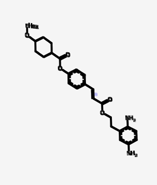 CCCCCCOC1CCC(C(=O)Oc2ccc(/C=C/C(=O)OCCc3cc(N)ccc3N)cc2)CC1